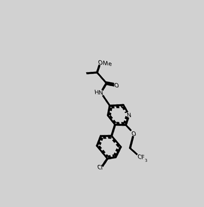 COC(C)C(=O)Nc1cnc(OCC(F)(F)F)c(-c2ccc(Cl)cc2)c1